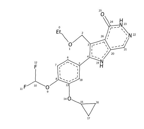 CCOCc1c(-c2ccc(OC(F)F)c(OC3CC3)c2)[nH]c2cn[nH]c(=O)c12